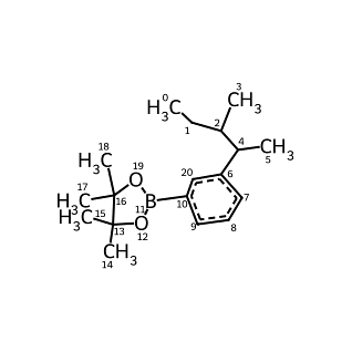 CCC(C)C(C)c1cccc(B2OC(C)(C)C(C)(C)O2)c1